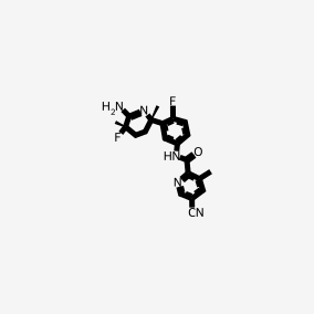 Cc1cc(C#N)cnc1C(=O)Nc1ccc(F)c([C@]2(C)CC[C@](C)(F)C(N)=N2)c1